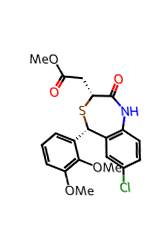 COC(=O)C[C@H]1S[C@@H](c2cccc(OC)c2OC)c2cc(Cl)ccc2NC1=O